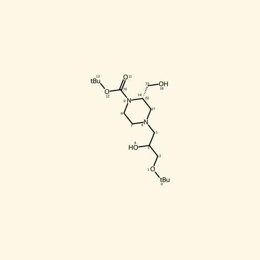 CC(C)(C)OCC(O)CN1CCN(C(=O)OC(C)(C)C)[C@H](CO)C1